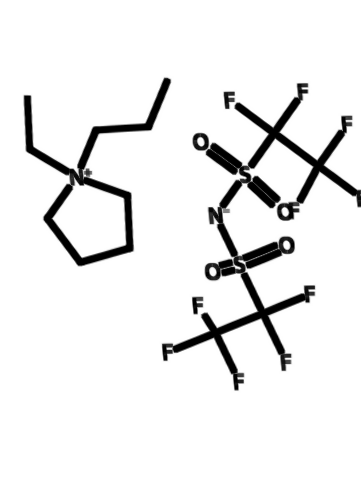 CCC[N+]1(CC)CCCC1.O=S(=O)([N-]S(=O)(=O)C(F)(F)C(F)(F)F)C(F)(F)C(F)(F)F